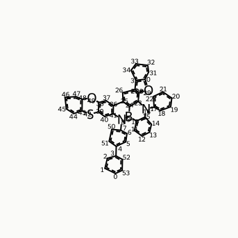 c1ccc(-c2ccc(N3B4c5ccccc5N(c5ccccc5)c5c4c(cc4c5oc5ccccc54)-c4cc5c(cc43)Sc3ccccc3O5)cc2)cc1